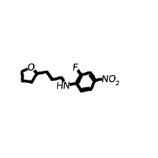 O=[N+]([O-])c1ccc(NCCCC2CCCO2)c(F)c1